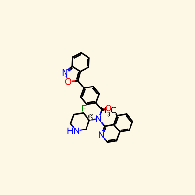 Cc1cccc2ccnc(N(C(=O)c3ccc(-c4onc5ccccc45)cc3F)[C@@H]3CCCNC3)c12